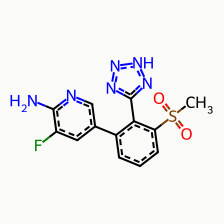 CS(=O)(=O)c1cccc(-c2cnc(N)c(F)c2)c1-c1nn[nH]n1